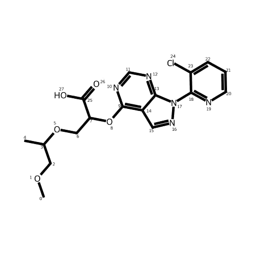 COCC(C)OCC(Oc1ncnc2c1cnn2-c1ncccc1Cl)C(=O)O